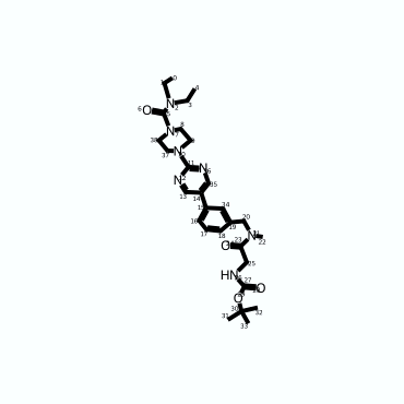 CCN(CC)C(=O)N1CCN(c2ncc(-c3cccc(CN(C)C(=O)CNC(=O)OC(C)(C)C)c3)cn2)CC1